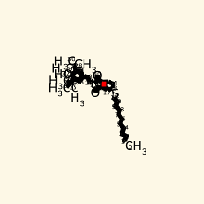 CCCCCCCCCCCCSC1CC2CC1C1C(=O)N(CCc3cc(C(C)(C)C)c(O)c(C(C)(C)C)c3)C(=O)C21